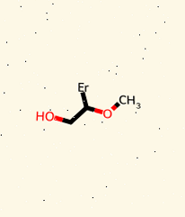 CO[CH]([Er])CO